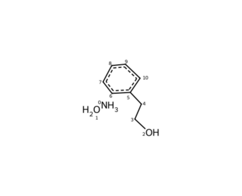 N.O.OCCc1ccccc1